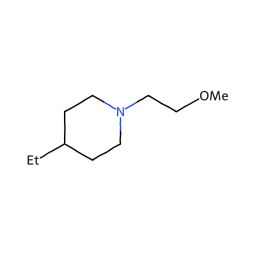 CCC1CCN(CCOC)CC1